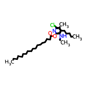 CCCCCCCCCCCCCCCCCC(=O)Oc1nc(Cl)c(C)c(CCCCC)c1NCC